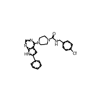 O=C(NCc1ccc(Cl)cc1)N1CCN(c2ncnc3[nH]c(-c4ccccc4)cc23)CC1